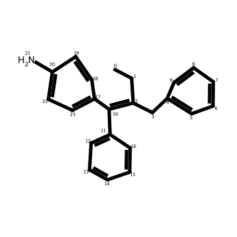 CCC(Cc1ccccc1)=C(c1ccccc1)c1ccc(N)cc1